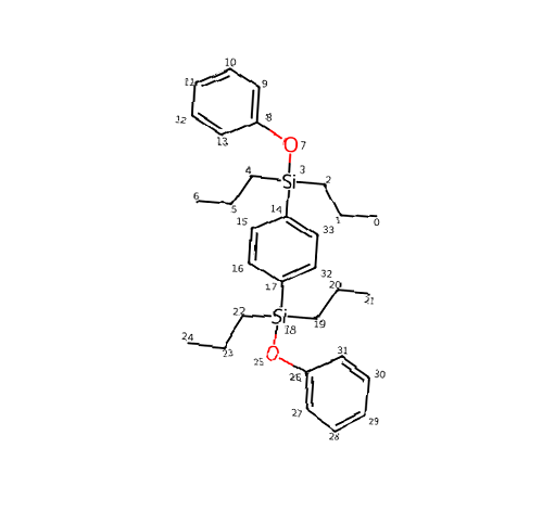 CCC[Si](CCC)(Oc1ccccc1)c1ccc([Si](CCC)(CCC)Oc2ccccc2)cc1